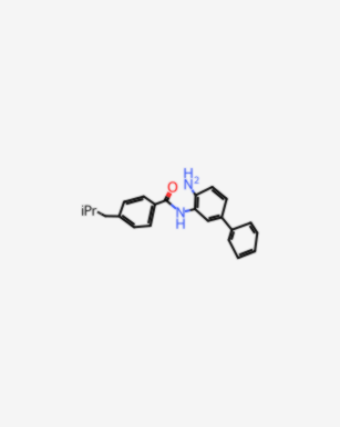 CC(C)Cc1ccc(C(=O)Nc2cc(-c3ccccc3)ccc2N)cc1